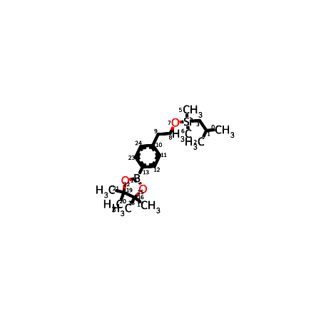 CC(C)C[Si](C)(C)OCCc1ccc(B2OC(C)(C)C(C)(C)O2)cc1